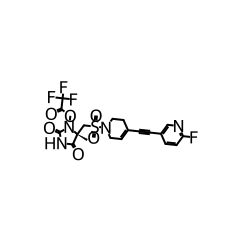 C[C@@]1(CS(=O)(=O)N2CC=C(C#Cc3ccc(F)nc3)CC2)C(=O)NC(=O)N1OC(=O)C(F)(F)F